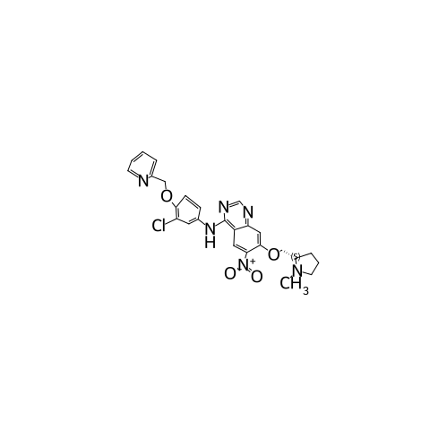 CN1CCC[C@H]1COc1cc2ncnc(Nc3ccc(OCc4ccccn4)c(Cl)c3)c2cc1[N+](=O)[O-]